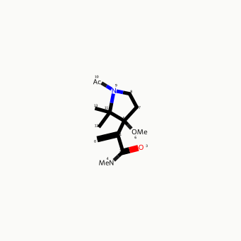 C=C(C(=O)NC)C1(OC)CCN(C(C)=O)C1(C)C